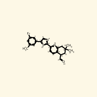 Cc1cc(F)cc(-c2cnc(-c3ccc4c(n3)CC(C)(C)CC4C=O)s2)c1